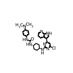 CN(C)c1ccc(NC(=O)N[C@H]2CC[C@H](Nc3nc(Cl)cc(-c4c[nH]c5ncccc45)n3)CC2)cc1